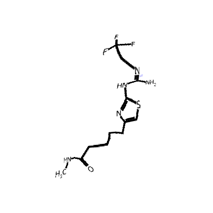 CNC(=O)CCCCc1csc(N/C(N)=N\CC(F)(F)F)n1